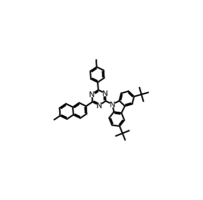 Cc1ccc(-c2nc(-c3ccc4cc(C)ccc4c3)nc(-n3c4ccc(C(C)(C)C)cc4c4cc(C(C)(C)C)ccc43)n2)cc1